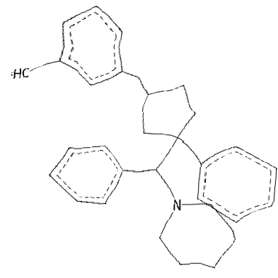 [CH]c1cccc(C2CCC(c3ccccc3)(C(c3ccccc3)N3CCCCC3)C2)c1